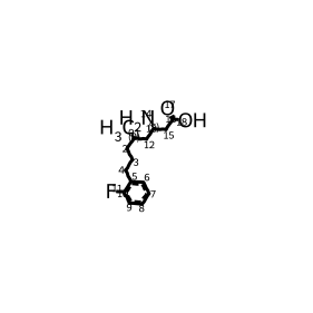 C[C@H](CCCc1ccccc1F)C[C@H](N)CC(=O)O